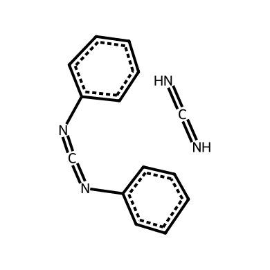 C(=Nc1ccccc1)=Nc1ccccc1.N=C=N